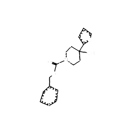 O=C(OCc1ccccc1)N1CCC(O)(c2cccs2)CC1